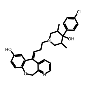 CC1CN(CC/C=C2/c3cc(O)ccc3OCc3ncccc32)CC(C)C1(O)c1ccc(Cl)cc1